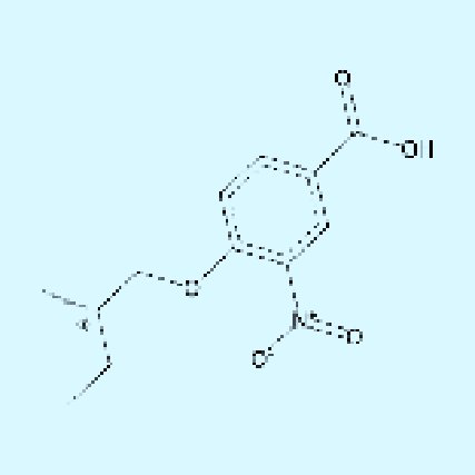 CC[C@H](C)COc1ccc(C(=O)O)cc1[N+](=O)[O-]